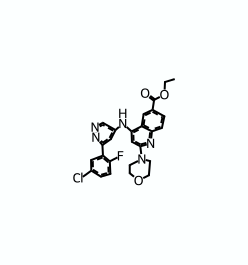 CCOC(=O)c1ccc2nc(N3CCOCC3)cc(Nc3cnnc(-c4cc(Cl)ccc4F)c3)c2c1